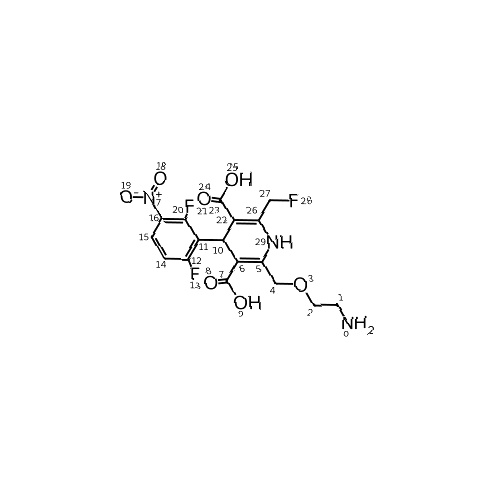 NCCOCC1=C(C(=O)O)C(c2c(F)ccc([N+](=O)[O-])c2F)C(C(=O)O)=C(CF)N1